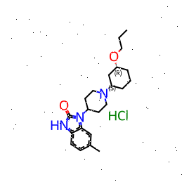 CCCO[C@@H]1CCC[C@H](N2CCC(n3c(=O)[nH]c4ccc(C)cc43)CC2)C1.Cl